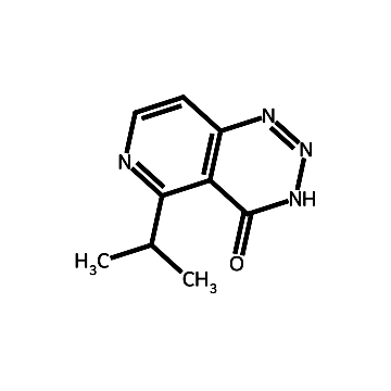 CC(C)c1nccc2nn[nH]c(=O)c12